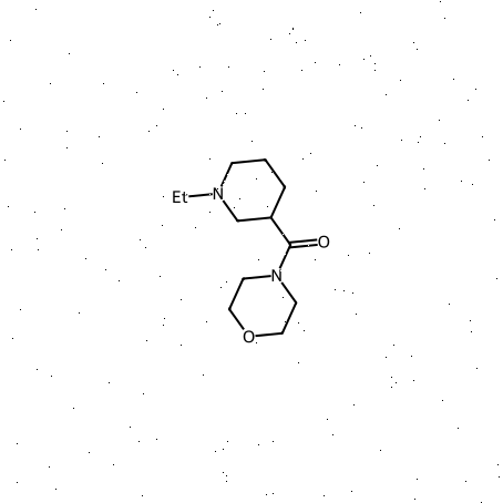 CCN1CCCC(C(=O)N2CCOCC2)C1